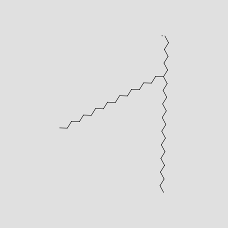 [CH2]CCCCCC(CCCCCCCCCCCCCCCCC)CCCCCCCCCCCCCCCCC